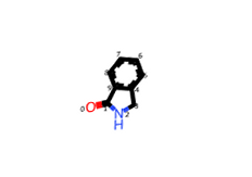 O=C1NCc2[c]cccc21